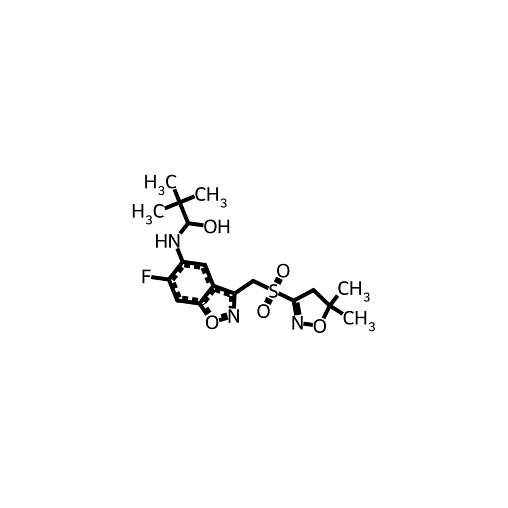 CC1(C)CC(S(=O)(=O)Cc2noc3cc(F)c(NC(O)C(C)(C)C)cc23)=NO1